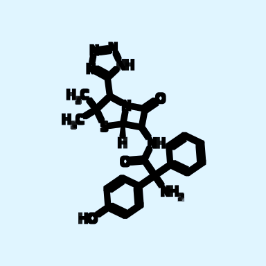 CC1(C)S[C@H]2C(NC(=O)C(N)(c3ccccc3)c3ccc(O)cc3)C(=O)N2C1c1nnn[nH]1